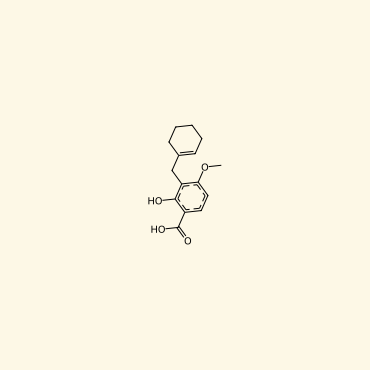 COc1ccc(C(=O)O)c(O)c1CC1=CCCCC1